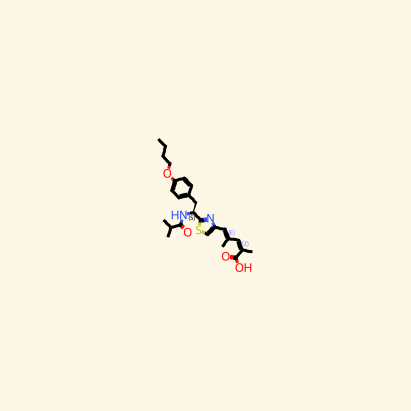 CCCCOc1ccc(C[C@H](NC(=O)C(C)C)c2nc(/C=C(C)/C=C(/C)C(=O)O)cs2)cc1